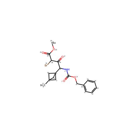 CC12CC(C(NC(=O)OCc3ccccc3)C(=O)C(Br)C(=O)OC(C)(C)C)(C1)C2